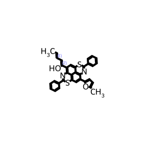 C/C=C/C=C(\O)c1cc2c3c(c(-c4ccc(C)o4)cc4c3c1N=C(c1ccccc1)S4)N=C(c1ccccc1)S2